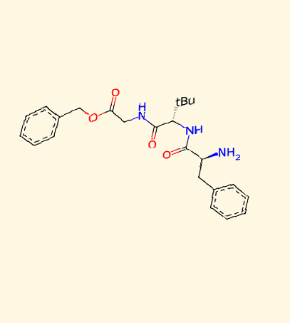 CC(C)(C)[C@H](NC(=O)[C@@H](N)Cc1ccccc1)C(=O)NCC(=O)OCc1ccccc1